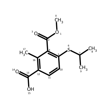 COC(=O)c1c(SC(C)C)ccc(C(=O)O)c1C